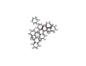 c1ccc(-c2cc(-c3ccccc3)cc(N(c3ccccc3-c3cccc4c3oc3ccccc34)c3cccc4oc5c6ccccc6ccc5c34)c2)cc1